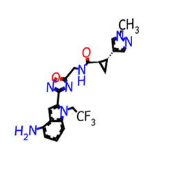 Cn1cc([C@@H]2C[C@H]2C(=O)NCc2nc(-c3cc4c(N)cccc4n3CC(F)(F)F)no2)cn1